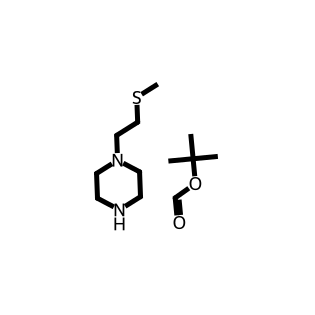 CC(C)(C)OC=O.CSCCN1CCNCC1